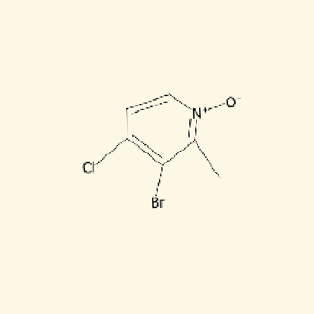 Cc1c(Br)c(Cl)cc[n+]1[O-]